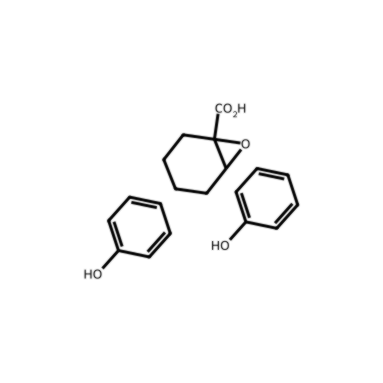 O=C(O)C12CCCCC1O2.Oc1ccccc1.Oc1ccccc1